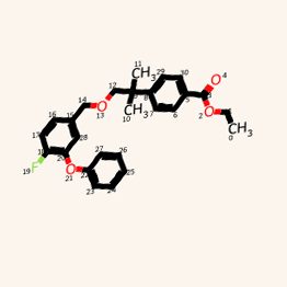 CCOC(=O)c1ccc(C(C)(C)COCc2ccc(F)c(Oc3ccccc3)c2)cc1